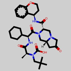 C[C@@H](C(=O)N[C@H](C(=O)N1C[C@H]2CC(=O)CN2C[C@H]1C(=O)N[C@@H]1CCOc2ccccc21)C1CCCCC1)N(CC(C)(C)C)C(=O)O